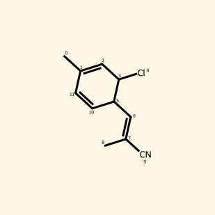 CC1=CC(Cl)C(/C=C(\C)C#N)C=C1